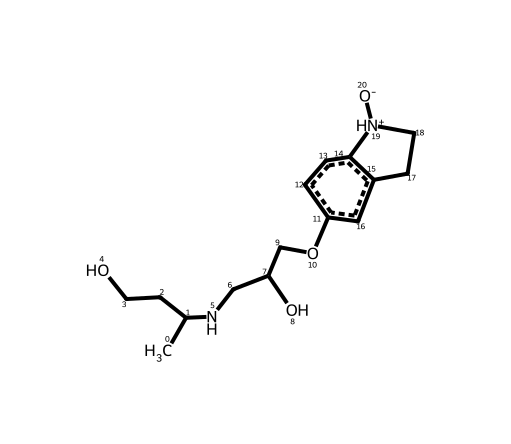 CC(CCO)NCC(O)COc1ccc2c(c1)CC[NH+]2[O-]